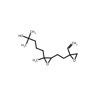 C=CC1(CCC2OC2(C)CCCC(C)(C)O)CO1